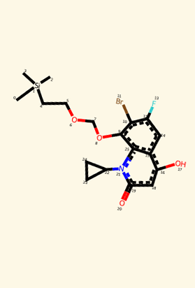 C[Si](C)(C)CCOCOc1c(Br)c(F)cc2c(O)cc(=O)n(C3CC3)c12